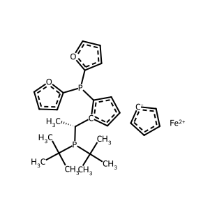 C[C@H]([c-]1cccc1P(c1ccco1)c1ccco1)P(C(C)(C)C)C(C)(C)C.[Fe+2].c1cc[cH-]c1